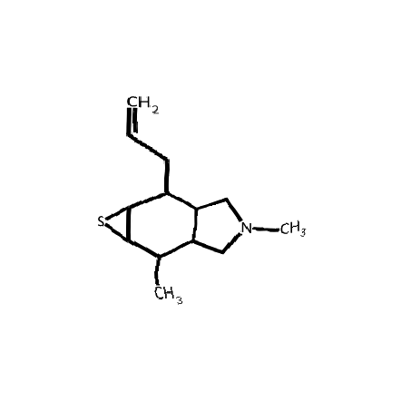 C=CCC1C2CN(C)CC2C(C)C2SC12